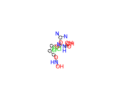 C[C@@](CO)(NCc1cc(Cl)c(OCc2cccc(-c3cccc(-c4ccc(OCCNCCO)cc4)c3Cl)c2Cl)nc1OCc1cc(C#N)cc(C#N)c1)C(=O)O